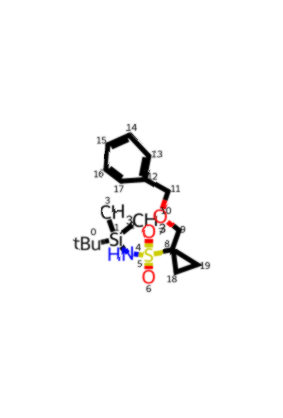 CC(C)(C)[Si](C)(C)NS(=O)(=O)C1(COCc2ccccc2)CC1